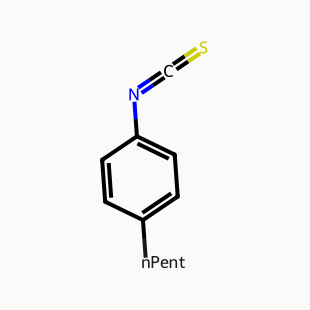 CCCCCc1ccc(N=C=S)cc1